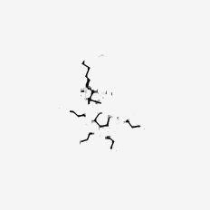 CCCCCCCCCCCCCC=CC(O)C(C)(NCCCC)C(C)([SiH3])OC1O[C@H](COC(=O)CCC(C)=O)[C@@H](OC(=O)CCC(C)=O)[C@H](OC(=O)CCC(C)=O)[C@H]1OC(=O)CCC(C)=O